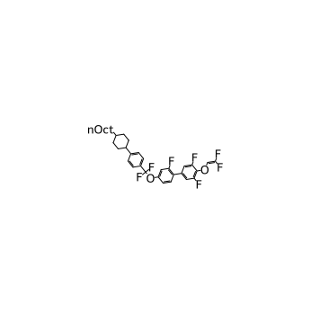 CCCCCCCCC1CCC(c2ccc(C(F)(F)Oc3ccc(-c4cc(F)c(OC=C(F)F)c(F)c4)c(F)c3)cc2)CC1